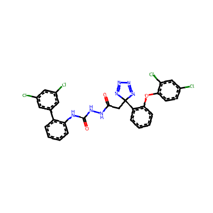 O=C(CC1(c2ccccc2Oc2ccc(Cl)cc2Cl)N=NN=N1)NNC(=O)Nc1ccccc1-c1cc(Cl)cc(Cl)c1